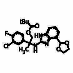 CC(C)(C)C(=O)OCC(C)(Nc1nc2c(C3OCCO3)cccc2[nH]1)c1ccc(F)c(Cl)c1